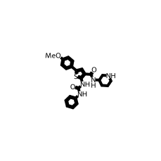 COc1ccc(-c2cc(C(=O)NC3CCCNC3)c(NC(=O)Nc3ccccc3)s2)cc1